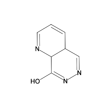 OC1=NN=CC2C=CC=NC12